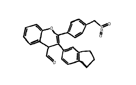 O=CC1C(c2ccc3c(c2)CCC3)=C(c2ccc(C[SH](=O)=O)cc2)Oc2ccccc21